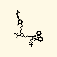 COC(=O)c1nc(NCCCC(CO[Si](C)(C)C(C)(C)C)O[Si](c2ccccc2)(c2ccccc2)C(C)(C)C)sc1CCCOc1ccc(C#CCN(C)C)cc1F